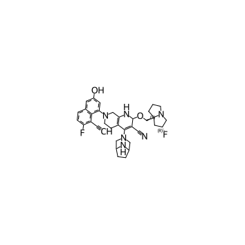 C#Cc1c(F)ccc2cc(O)cc(N3CCC4=C(C3)NC(OC[C@@]35CCCN3C[C@H](F)C5)C(C#N)=C4N3CC4CCC(C3)N4)c12